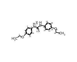 CCOc1ccc(NC(=S)Nc2ccc(OCC)cc2)cc1.[Y]